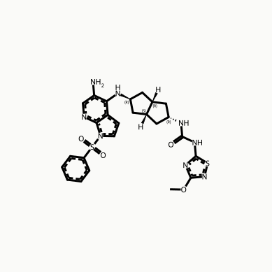 COc1nsc(NC(=O)N[C@@H]2C[C@@H]3C[C@@H](Nc4c(N)cnc5c4ccn5S(=O)(=O)c4ccccc4)C[C@@H]3C2)n1